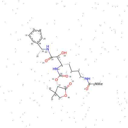 CNC(=O)NCCCC[C@H](NC(=O)O[C@@H]1C(=O)OCC1(C)C)C(O)C(=O)N[C@H](C)c1ccccc1